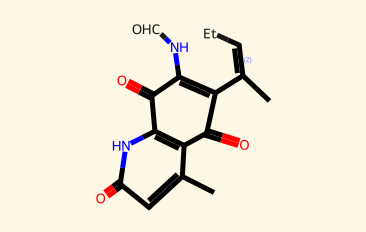 CC/C=C(/C)C1=C(NC=O)C(=O)c2[nH]c(=O)cc(C)c2C1=O